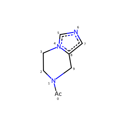 CC(=O)N1CCn2cncc2C1